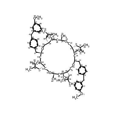 COc1cccc(Cc2ccc(C[C@@H]3CN(C)[C@@H](CC(C)C)CO[C@H](C)CN(C)[C@@H](CC(C)C)CO[C@H](Cc4ccc(Cc5cccc(OC)c5)cc4)CN(C)[C@@H](CC(C)C)CO[C@H](C)CN(C)[C@@H](CC(C)C)CO3)cc2)c1